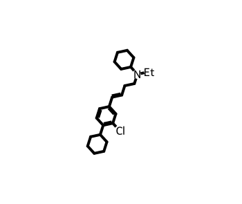 CCN(CC/C=C/c1ccc(C2CCCCC2)c(Cl)c1)C1CCCCC1